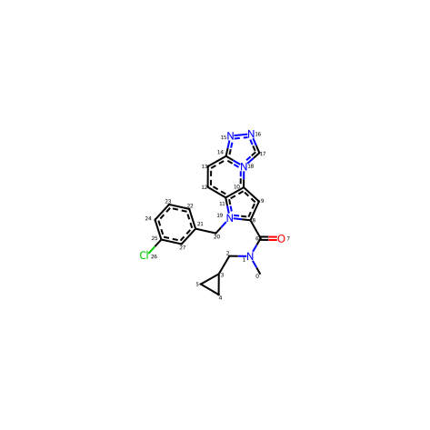 CN(CC1CC1)C(=O)c1cc2c(ccc3nncn32)n1Cc1cccc(Cl)c1